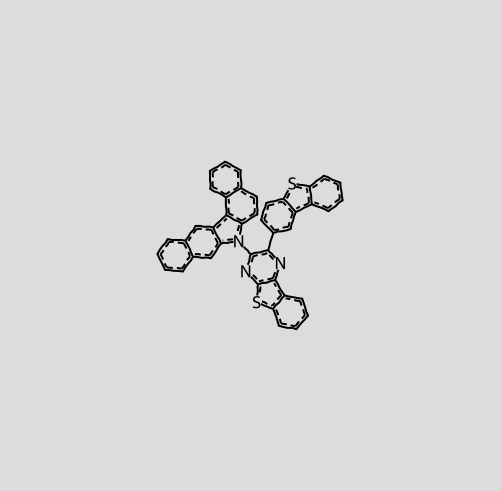 c1ccc2cc3c(cc2c1)c1c2ccccc2ccc1n3-c1nc2sc3ccccc3c2nc1-c1ccc2sc3ccccc3c2c1